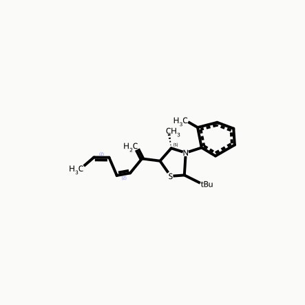 C=C(/C=C\C=C/C)C1SC(C(C)(C)C)N(c2ccccc2C)[C@H]1C